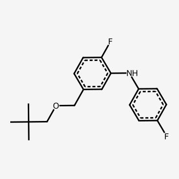 CC(C)(C)COCc1ccc(F)c(Nc2ccc(F)cc2)c1